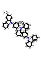 N#Cc1ccc2c(c1)c1ccccc1n2-c1ccc2c(c1)c1ccccc1n2-c1c(C#N)cccc1-c1cccc(-n2c3ccccc3c3ccccc32)c1